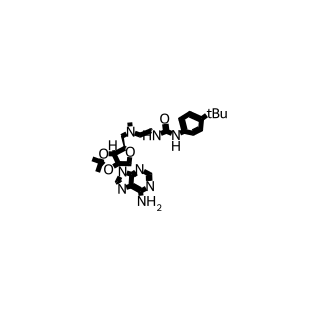 CN(CCNC(=O)Nc1ccc(C(C)(C)C)cc1)C[C@H]1OC[C@@]2(n3cnc4c(N)ncnc43)OC(C)(C)O[C@H]12